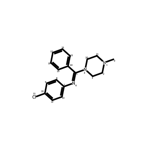 CN1CCN(C(=Nc2ccc(Cl)cc2)c2ccccc2)CC1